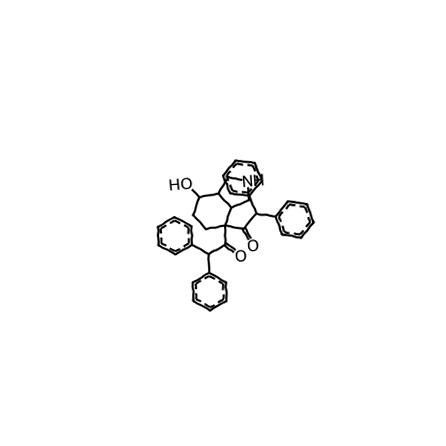 O=C(C(c1ccccc1)c1ccccc1)C1(C(=O)C(c2ccccc2)c2ccccc2)CCC(O)C2CNCC21